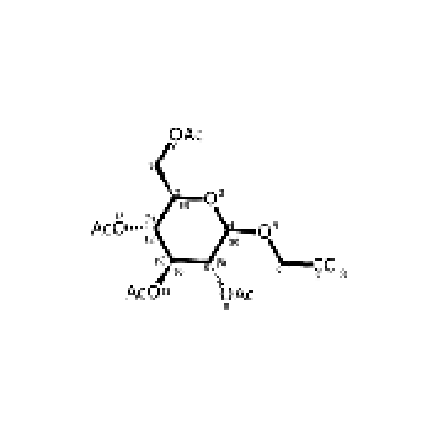 CC(=O)OC[C@H]1O[C@@H](OCC(Cl)(Cl)Cl)[C@H](OC(C)=O)[C@@H](OC(C)=O)[C@@H]1OC(C)=O